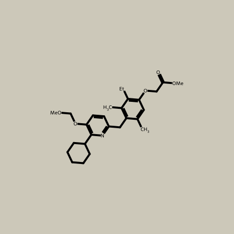 CCc1c(OCC(=O)OC)cc(C)c(Cc2ccc(OCOC)c(C3CCCCC3)n2)c1C